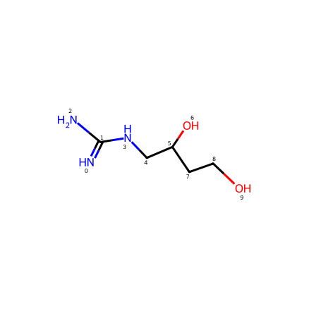 N=C(N)NCC(O)CCO